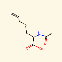 C=CCSCC(NC(C)=O)C(=O)O